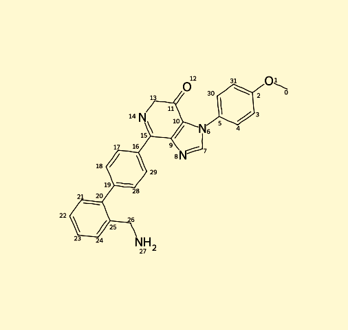 COc1ccc(-n2cnc3c2C(=O)CN=C3c2ccc(-c3ccccc3CN)cc2)cc1